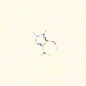 Cn1nc(C(F)F)c(CBr)c1Cl